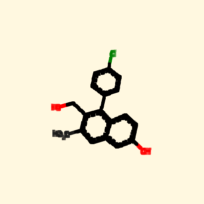 O=C(O)c1cc2cc(O)ccc2c(-c2ccc(Cl)cc2)c1CO